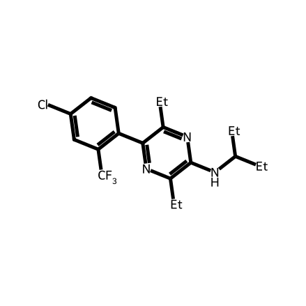 CCc1nc(-c2ccc(Cl)cc2C(F)(F)F)c(CC)nc1NC(CC)CC